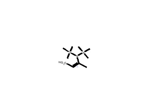 C/C(=C/C(=O)O)N([Si](C)(C)C)[Si](C)(C)C